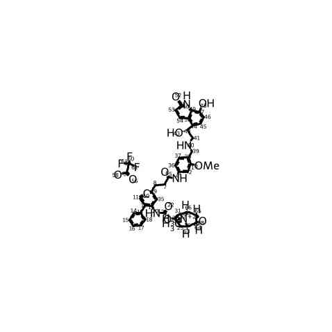 COc1cc(NC(=O)CCc2ccc(-c3ccccc3)c(NC(=O)O[C@@H]3C[C@@H]4[C@H]5O[C@H]5[C@H](C3)[N+]4(C)C)c2)ccc1CNC[C@H](O)c1ccc(O)c2[nH]c(=O)ccc12.O=C([O-])C(F)(F)F